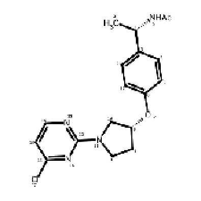 CC(=O)N[C@@H](C)c1ccc(O[C@@H]2CCN(c3nccc(Cl)n3)C2)cc1